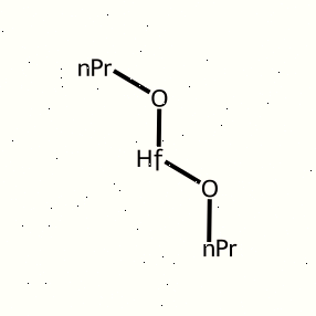 CCC[O][Hf][O]CCC